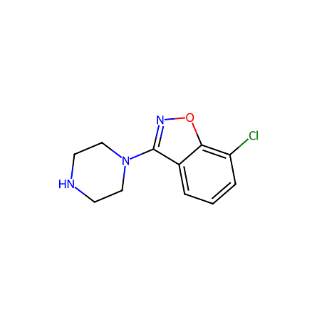 Clc1cccc2c(N3CCNCC3)noc12